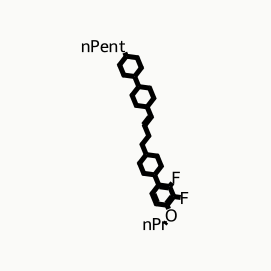 CCCCCC1CCC(C2CCC(/C=C/CCC3CCC(c4ccc(OCCC)c(F)c4F)CC3)CC2)CC1